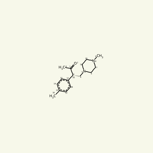 CC(=O)[C@H](CN1CCN(C)CC1)c1ccc(C)cc1